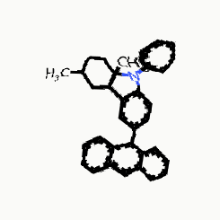 CC1CCC2(C)C(C1)c1cc(-c3c4ccccc4cc4ccccc34)ccc1N2c1ccccc1